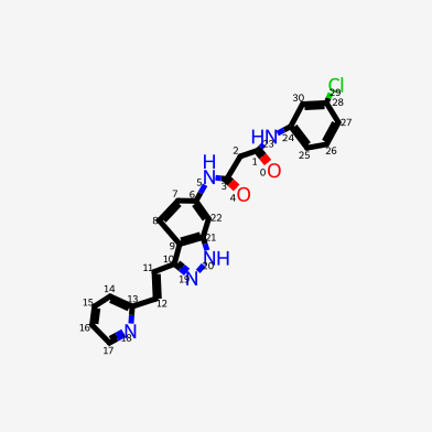 O=C(CC(=O)Nc1ccc2c(C=Cc3ccccn3)n[nH]c2c1)Nc1cccc(Cl)c1